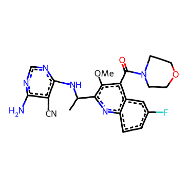 COc1c(C(C)Nc2ncnc(N)c2C#N)nc2ccc(F)cc2c1C(=O)N1CCOCC1